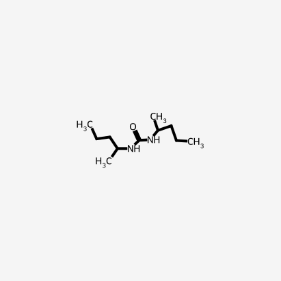 CCCC(C)NC(=O)NC(C)CCC